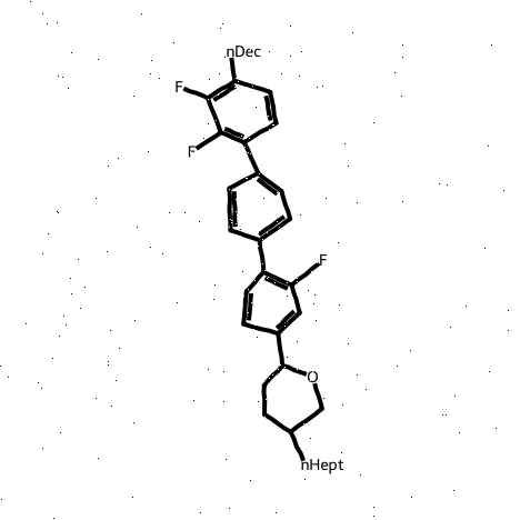 CCCCCCCCCCc1ccc(-c2ccc(-c3ccc(C4CCC(CCCCCCC)CO4)cc3F)cc2)c(F)c1F